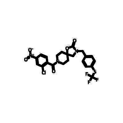 O=C1OC2(CCN(C(=O)c3ccc([N+](=O)[O-])cc3Cl)CC2)CN1Cc1ccc(SC(F)(F)F)cc1